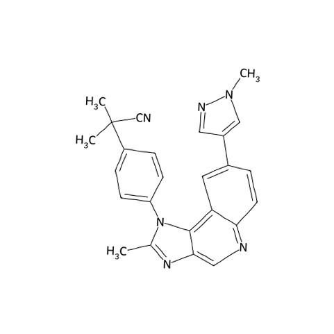 Cc1nc2cnc3ccc(-c4cnn(C)c4)cc3c2n1-c1ccc(C(C)(C)C#N)cc1